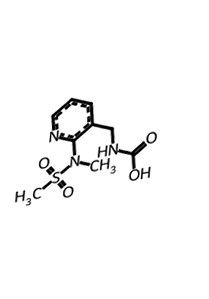 CN(c1ncccc1CNC(=O)O)S(C)(=O)=O